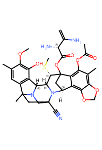 C=C(N)[C@@H](N)C(=O)OC12C[C@@H](c3c4c(c(C)c(OC(C)=O)c31)OCO4)N1[C@H]([C@H]3c4c(cc(C)c(OC)c4O)C4(C)CC1(C#N)CN34)[C@@H]2SC